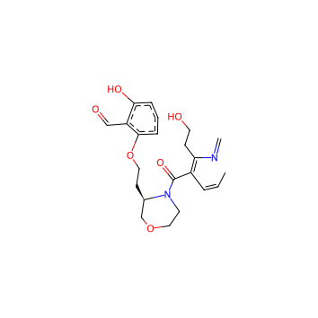 C=N/C(CCO)=C(\C=C/C)C(=O)N1CCOC[C@H]1CCOc1cccc(O)c1C=O